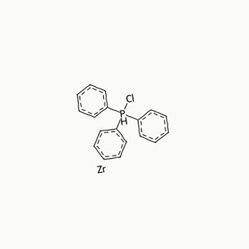 Cl[PH](c1ccccc1)(c1ccccc1)c1ccccc1.[Zr]